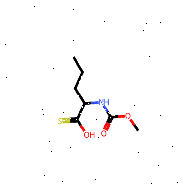 CCCC(NC(=O)OC)C(O)=S